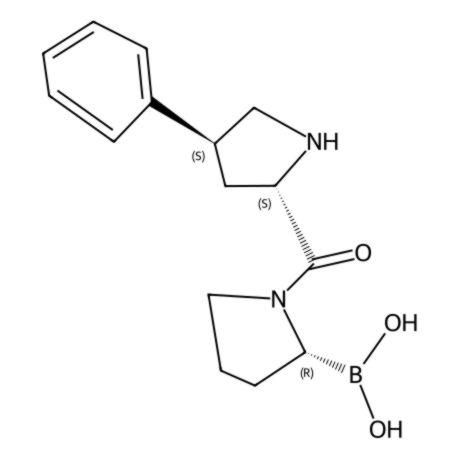 O=C([C@@H]1C[C@@H](c2ccccc2)CN1)N1CCC[C@H]1B(O)O